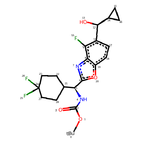 CC(C)(C)OC(=O)N[C@H](c1nc2c(F)c(C(O)C3CC3)ccc2o1)C1CCC(F)(F)CC1